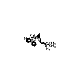 CC(C)(C)OC(=O)/C=C/CC[C@@H]1C[C@@H]1CO[Si](c1ccccc1)(c1ccccc1)C(C)(C)C